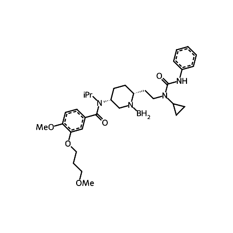 BN1C[C@H](N(C(=O)c2ccc(OC)c(OCCCOC)c2)C(C)C)CC[C@@H]1CCN(C(=O)Nc1ccccc1)C1CC1